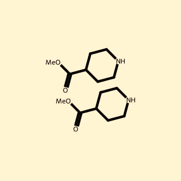 COC(=O)C1CCNCC1.COC(=O)C1CCNCC1